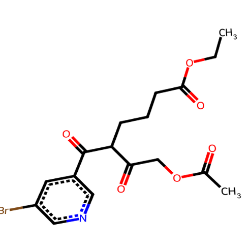 CCOC(=O)CCCC(C(=O)COC(C)=O)C(=O)c1cncc(Br)c1